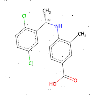 Cc1cc(C(=O)O)ccc1N[C@@H](C)c1cc(Cl)ccc1Cl